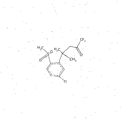 CC(C)(CC(=O)C(F)(F)F)c1cc(Cl)ccc1S(C)(=O)=O